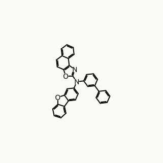 c1ccc(-c2cccc(N(c3ccc4c(c3)oc3ccccc34)c3nc4c(ccc5ccccc54)o3)c2)cc1